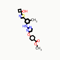 CCOC(=O)C1CCC(Oc2ccnc(Nc3cc(C)cc(-c4cnc(C5(O)CCC5)s4)c3)n2)CC1